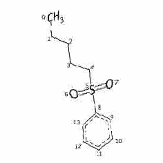 CCCCCS(=O)(=O)c1[c]cccc1